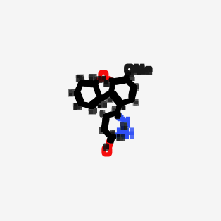 COc1ccc(-c2ccc(=O)[nH]n2)c2c1oc1ccccc12